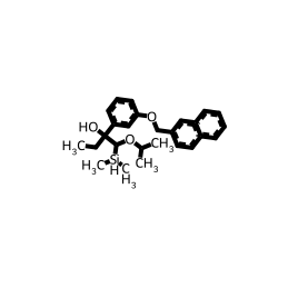 CCC(O)(c1cccc(OCc2ccc3ccccc3c2)c1)C(OC(C)C)[SiH](C)C